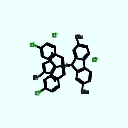 CC1=[C]([Zr+2](=[CH]c2ccc(Cl)cc2)(=[CH]c2ccc(Cl)cc2)[CH]2c3cc(C(C)(C)C)ccc3-c3ccc(C(C)(C)C)cc32)C(C)C=C1C(C)C.[Cl-].[Cl-]